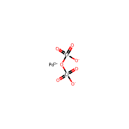 [O]=[Cr](=[O])([O-])[O][Cr](=[O])(=[O])[O-].[Pd+2]